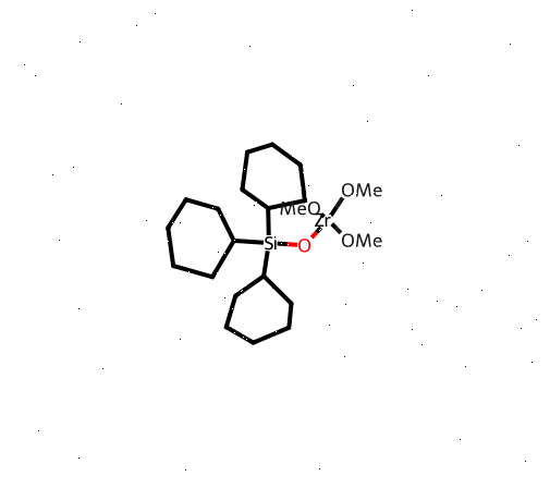 C[O][Zr]([O]C)([O]C)[O][Si](C1CCCCC1)(C1CCCCC1)C1CCCCC1